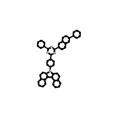 c1ccc(-c2ccc3cc(-c4nc(-c5ccccc5)nc(-c5ccc(-n6c7ccc8ccccc8c7c7c8ccccc8ccc76)cc5)n4)ccc3c2)cc1